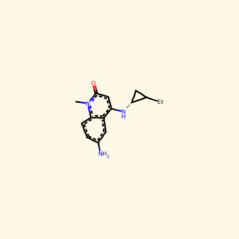 CCC1C[C@H]1Nc1cc(=O)n(C)c2ccc(N)cc12